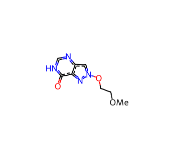 COCCOn1cc2nc[nH]c(=O)c2n1